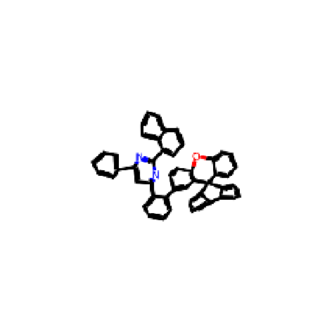 c1ccc(-c2cc(-c3ccccc3-c3ccc4c(c3)C3(c5ccccc5O4)c4ccccc4-c4ccccc43)nc(-c3cccc4ccccc34)n2)cc1